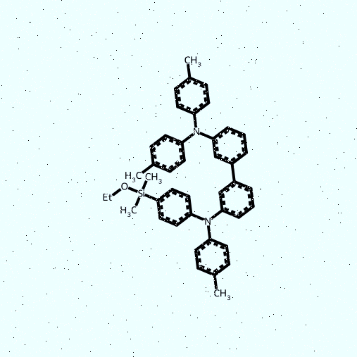 CCO[Si](C)(C)c1ccc(N(c2ccc(C)cc2)c2cccc(-c3cccc(N(c4ccc(C)cc4)c4ccc(C)cc4)c3)c2)cc1